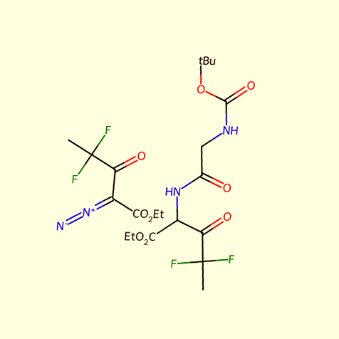 CCOC(=O)C(=[N+]=[N-])C(=O)C(C)(F)F.CCOC(=O)C(NC(=O)CNC(=O)OC(C)(C)C)C(=O)C(C)(F)F